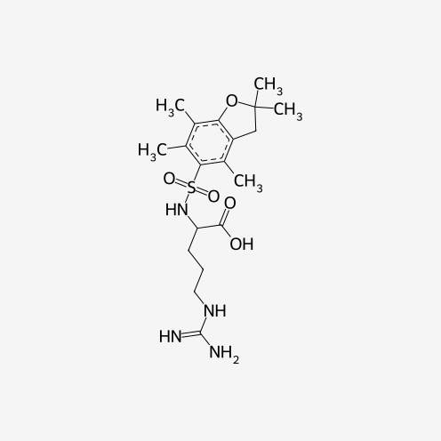 Cc1c(C)c(S(=O)(=O)NC(CCCNC(=N)N)C(=O)O)c(C)c2c1OC(C)(C)C2